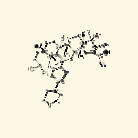 CC1(C)CC[C@]2(C(=O)O)CC[C@]3(C)C(=C(c4ccc(N5CCOCC5)nc4)CC4[C@@]5(C)Cc6c(n[nH]c6N)C(C)(C)[C@@H]5CC[C@]43C)[C@@H]2C1